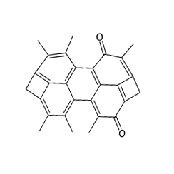 Cc1c2c3c(c(C)c(C)c4c5c6c(c(C)c(=O)c7c-6c(c(C)c5=O)C7)c(c1C)c34)C2